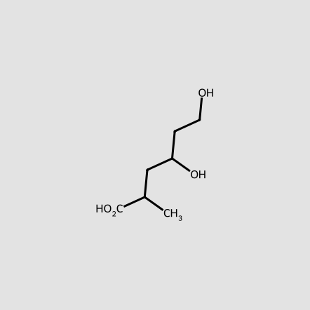 CC(CC(O)CCO)C(=O)O